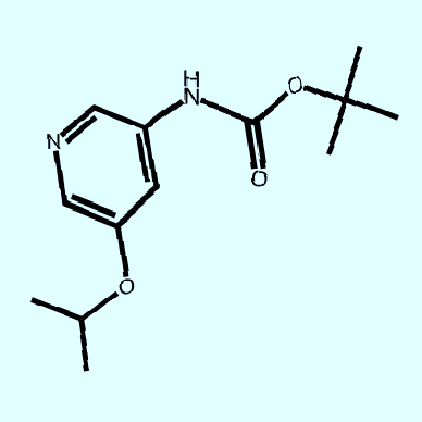 CC(C)Oc1cncc(NC(=O)OC(C)(C)C)c1